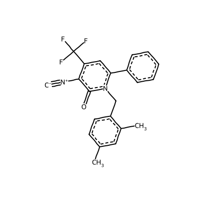 [C-]#[N+]c1c(C(F)(F)F)cc(-c2ccccc2)n(Cc2ccc(C)cc2C)c1=O